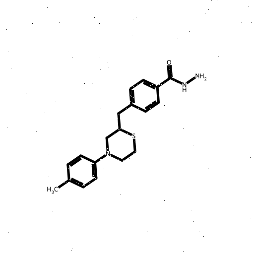 Cc1ccc(N2CCSC(Cc3ccc(C(=O)NN)cc3)C2)cc1